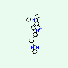 C(=C/n1c2ccccc2c2cc(-c3cccc(-c4cnc5ccccc5n4)c3)ccc21)/c1ccc2c(c1)c1ccccc1n2-c1ccccc1